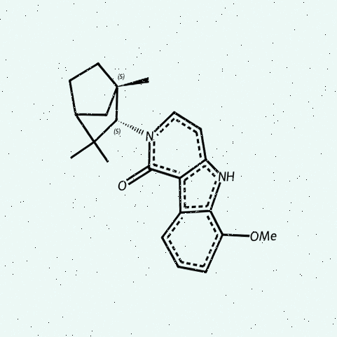 COc1cccc2c1[nH]c1ccn([C@@H]3C(C)(C)C4CC[C@@]3(C)C4)c(=O)c12